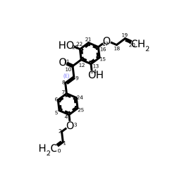 C=CCOc1ccc(/C=C/C(=O)c2c(O)cc(OCC=C)cc2O)cc1